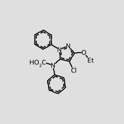 CCOc1nn(-c2ccccc2)c(N(C(=O)O)c2ccccc2)c1Cl